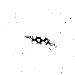 COC(=O)c1ccc(-c2cnc(N)s2)cc1